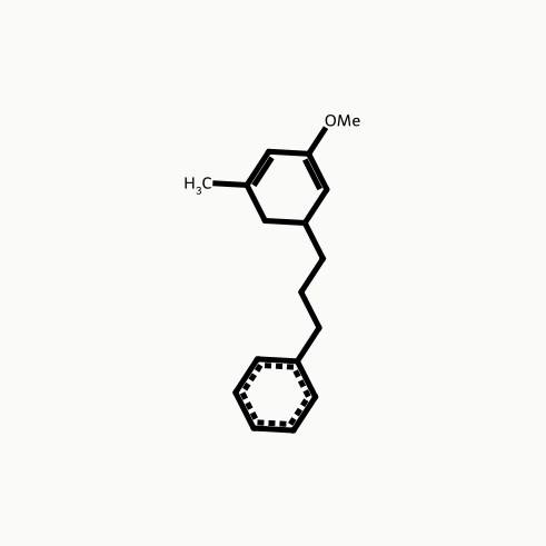 COC1=CC(CCCc2ccccc2)CC(C)=C1